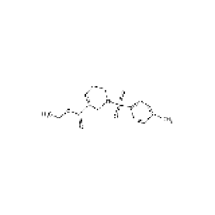 CCOC(=O)C1=CCCN(S(=O)(=O)c2ccc(C)cc2)C1